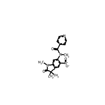 CN(C(=O)c1ccncc1)c1cc2c(cc1[N+](=O)[O-])C(C)(C)C(=O)N2C